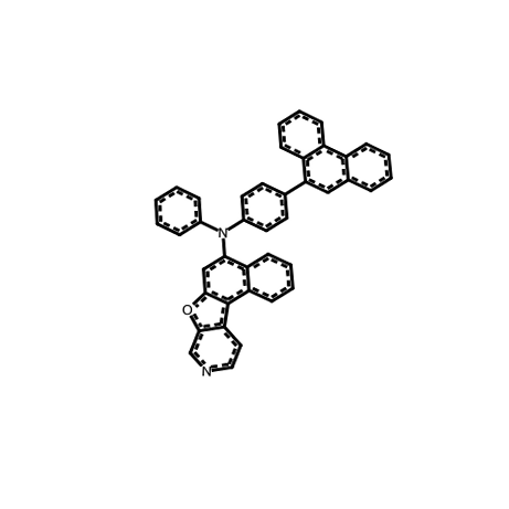 c1ccc(N(c2ccc(-c3cc4ccccc4c4ccccc34)cc2)c2cc3oc4cnccc4c3c3ccccc23)cc1